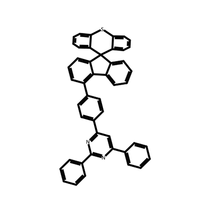 c1ccc(-c2cc(-c3ccc(-c4cccc5c4-c4ccccc4C54c5ccccc5Sc5ccccc54)cc3)nc(-c3ccccc3)n2)cc1